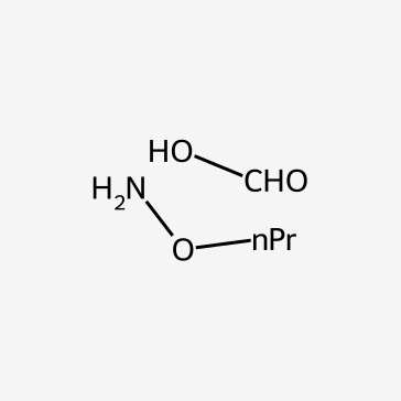 CCCON.O=CO